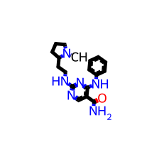 CN1CCCC1CCNc1ncc(C(N)=O)c(Nc2ccccc2)n1